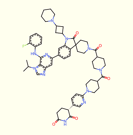 CC(C)n1cnc2cc(-c3ccc4c(c3)N(C3CC(N5CCCCC5)C3)C(=O)C43CCN(C(=O)C4CCN(C(=O)C5CCN(c6ccc([C@H]7CCC(=O)NC7=O)cn6)CC5)CC4)CC3)nc(Nc3ccccc3F)c21